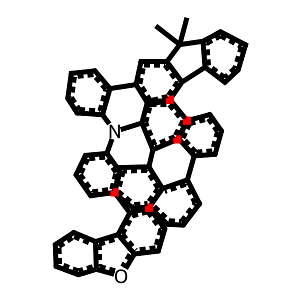 CC1(C)c2ccccc2-c2ccc(-c3ccccc3N(c3cccc(-c4cccc5oc6ccccc6c45)c3)c3ccccc3-c3cccc4cccc(-c5ccccc5)c34)cc21